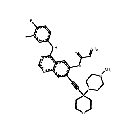 C=CC(=O)Nc1cc2c(Nc3ccc(F)c(Cl)c3)ncnc2cc1C#CC1(N2CCN(C)CC2)CCOCC1